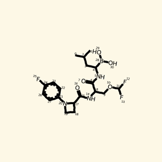 CC(C)CC(NC(=O)C(COC(F)F)NC(=O)C1CCN1c1ccc(F)cc1)B(O)O